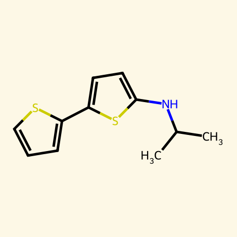 CC(C)Nc1ccc(-c2cccs2)s1